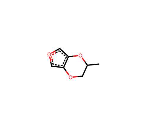 CC1COc2cocc2O1